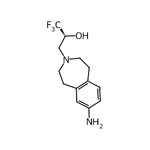 Nc1ccc2c(c1)CCN(C[C@H](O)C(F)(F)F)CC2